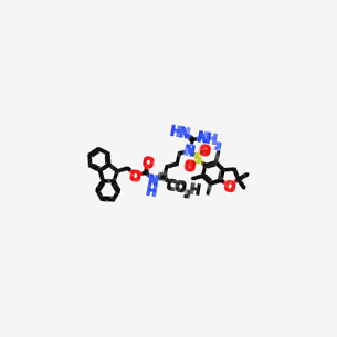 Cc1c(C)c(S(=O)(=O)N(CCC[C@H](NC(=O)OCC2c3ccccc3-c3ccccc32)C(=O)O)C(=N)N)c(C)c2c1OC(C)(C)C2